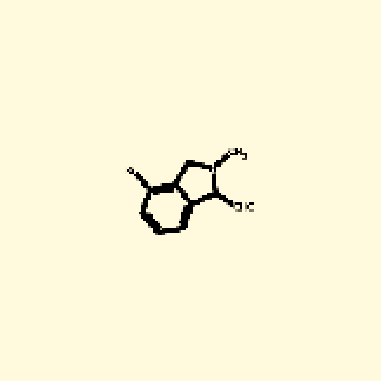 CN1Cc2c(Br)cccc2C1C=O